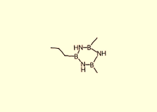 CCCB1NB(C)NB(C)N1